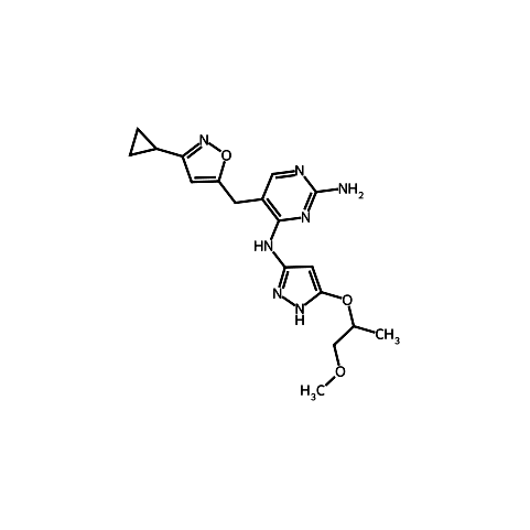 COCC(C)Oc1cc(Nc2nc(N)ncc2Cc2cc(C3CC3)no2)n[nH]1